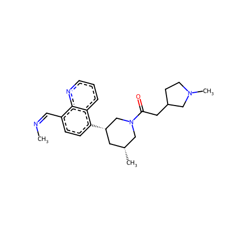 C/N=C\c1ccc([C@H]2C[C@@H](C)CN(C(=O)CC3CCN(C)C3)C2)c2cccnc12